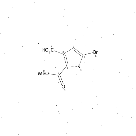 COC(=O)c1sc(Br)cc1C(=O)O